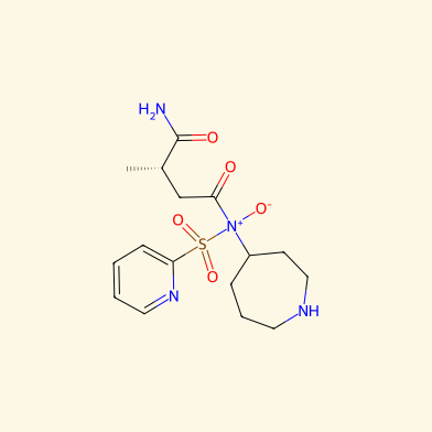 C[C@@H](CC(=O)[N+]([O-])(C1CCCNCC1)S(=O)(=O)c1ccccn1)C(N)=O